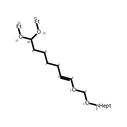 CCCCCCCOCOC=CCCCCC(OCC)OCC